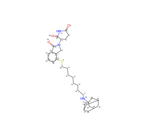 O=C1CCC(N2Cc3c(SCCCCCCCCNC45CC6CC(CC(C6)C4)C5)cccc3C2=O)C(=O)N1